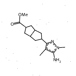 COC(=O)C1CC2CC(c3nn(C)c(N)c3C)CC2C1